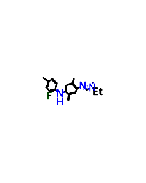 CCN(C)/C=N/c1cc(C)c(Nc2ccc(C)cc2F)cc1C